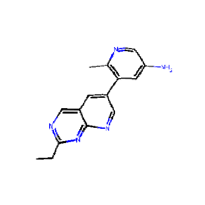 CCc1ncc2cc(-c3cc(N)cnc3C)cnc2n1